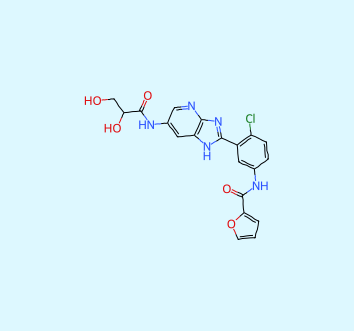 O=C(Nc1ccc(Cl)c(-c2nc3ncc(NC(=O)C(O)CO)cc3[nH]2)c1)c1ccco1